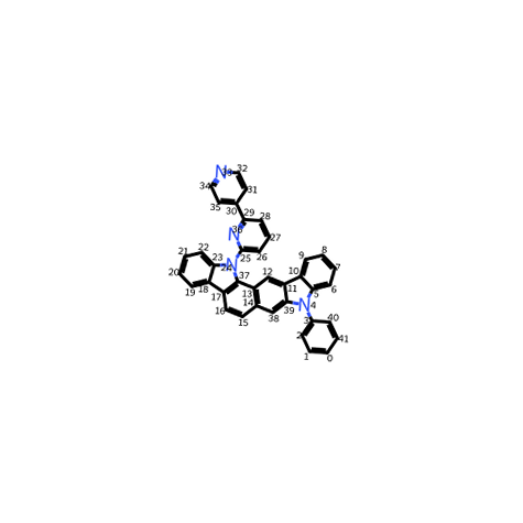 c1ccc(-n2c3ccccc3c3cc4c(ccc5c6ccccc6n(-c6cccc(-c7ccncc7)n6)c45)cc32)cc1